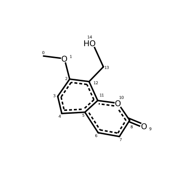 COc1ccc2ccc(=O)oc2c1CO